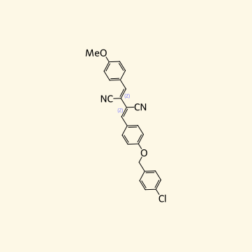 COc1ccc(/C=C(C#N)/C(C#N)=C/c2ccc(OCc3ccc(Cl)cc3)cc2)cc1